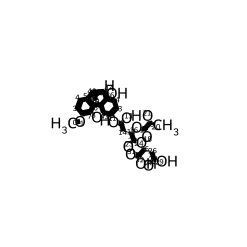 COc1ccc2c3c1O[C@@H]1C(OC(=O)C[C@H](OC(=O)[C@H](C)O)C(=O)O[C@H](CC(=O)O)C(=O)O)=CC[C@]4(O)[C@@H](CCC[C@@]314)C2